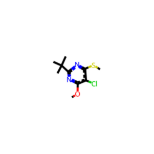 COc1nc(C(C)(C)C)nc(SC)c1Cl